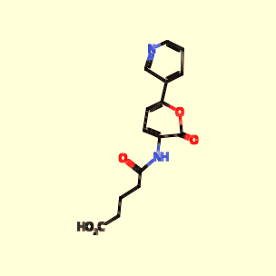 O=C(O)CCCC(=O)Nc1ccc(-c2cccnc2)oc1=O